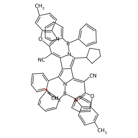 Cc1ccc2nc(/C(C#N)=c3/c4c(C5CCCC5)n(B(c5ccccc5)c5ccccc5)/c(=C(/C#N)c5nc6ccc(C)cc6o5)c4c(-c4ccccc4C)n3B(c3ccccc3)c3ccccc3)oc2c1